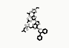 CCn1nnc([C@H]2O[C@@H](n3cnc4c(NCC(c5ccccc5)c5ccccc5)nc(CNS(=O)(=O)CC(C)C)nc43)[C@H](OC(C)=O)[C@@H]2OC(C)=O)n1